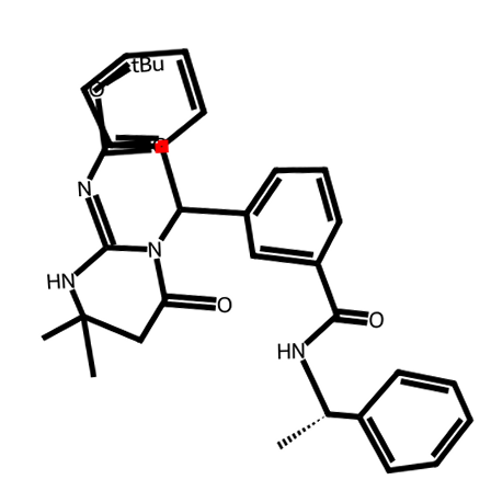 C[C@H](NC(=O)c1cccc(C(c2ccccc2)N2C(=O)CC(C)(C)N/C2=N/C(=O)OC(C)(C)C)c1)c1ccccc1